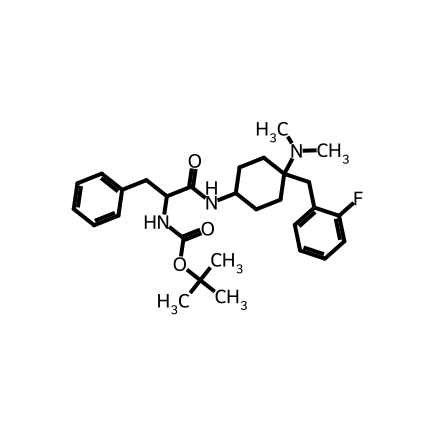 CN(C)C1(Cc2ccccc2F)CCC(NC(=O)C(Cc2ccccc2)NC(=O)OC(C)(C)C)CC1